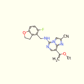 C=C(OCC)c1cnc(NCc2c(F)ccc3c2CCO3)n2cc(C#N)nc12